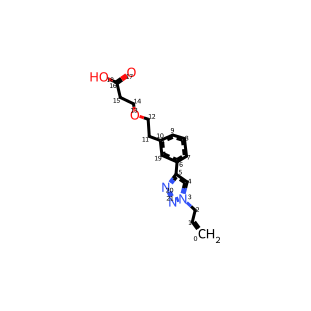 C=CCn1cc(-c2cccc(CCOCCC(=O)O)c2)nn1